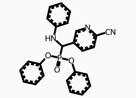 N#Cc1ccc(C(Nc2ccccc2)P(=O)(Oc2ccccc2)Oc2ccccc2)cn1